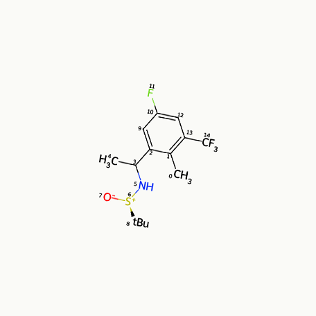 Cc1c(C(C)N[S@+]([O-])C(C)(C)C)cc(F)cc1C(F)(F)F